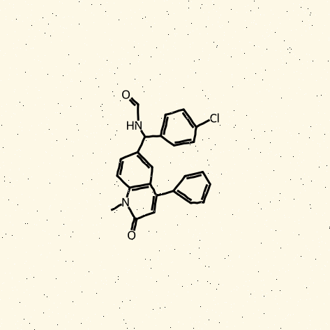 Cn1c(=O)cc(-c2ccccc2)c2cc(C(NC=O)c3ccc(Cl)cc3)ccc21